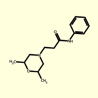 CC1CN(CCC(=O)Nc2ccccc2)CC(C)O1